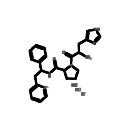 Cl.Cl.NC(Cc1c[nH]cn1)C(=O)N1CCCC1C(=O)NC(CC1=CC=CC=[N+]1)c1ccccc1.[Cl-]